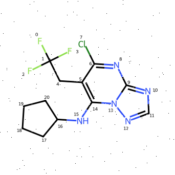 FC(F)(F)Cc1c(Cl)nc2ncnn2c1NC1CCCC1